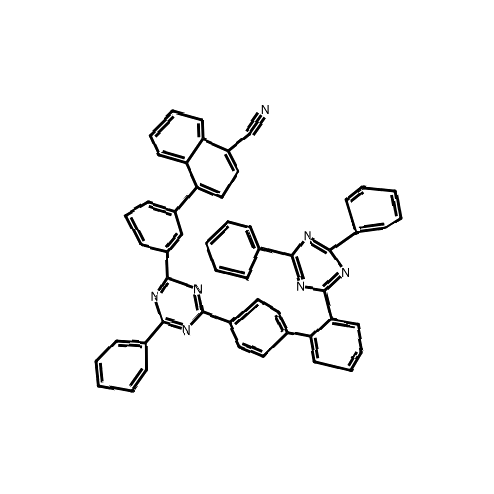 N#Cc1ccc(-c2cccc(-c3nc(-c4ccccc4)nc(-c4ccc(-c5ccccc5-c5nc(-c6ccccc6)nc(-c6ccccc6)n5)cc4)n3)c2)c2ccccc12